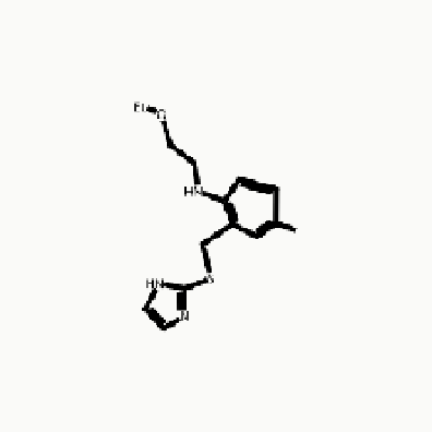 CCOCCNc1ccc(C)cc1CSc1ncc[nH]1